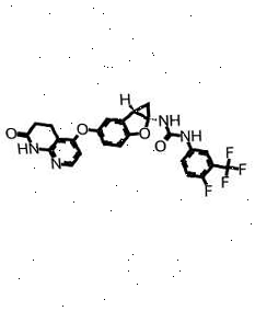 O=C1CCc2c(Oc3ccc4c(c3)[C@@H]3C[C@@]3(NC(=O)Nc3ccc(F)c(C(F)(F)F)c3)O4)ccnc2N1